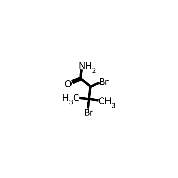 CC(C)(Br)C(Br)C(N)=O